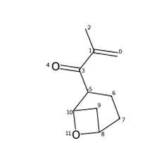 C=C(C)C(=O)[C]1CCC2CC1O2